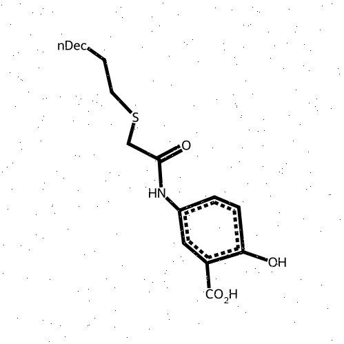 CCCCCCCCCCCCSCC(=O)Nc1ccc(O)c(C(=O)O)c1